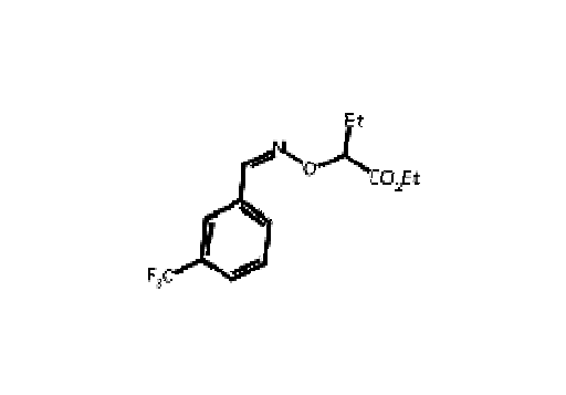 CCOC(=O)C(CC)O/N=C\c1cccc(C(F)(F)F)c1